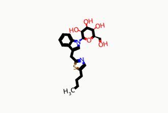 CCCCc1cnc(Cc2cn([C@@H]3O[C@H](CO)[C@@H](O)[C@H](O)[C@H]3O)c3ccccc23)s1